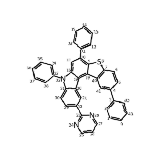 c1ccc(-c2ccc3sc4c(-c5ccccc5)cc5c(c6cc(-c7ncccn7)ccc6n5-c5ccccc5)c4c3c2)cc1